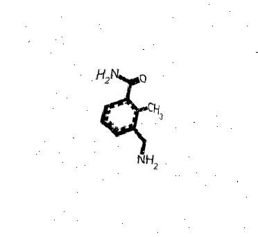 Cc1c(CN)cccc1C(N)=O